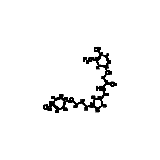 O=C(COc1ccc(Cl)c(C(F)(F)F)c1)NCC1CCN(CCCOc2ccc(Cl)cc2)C1